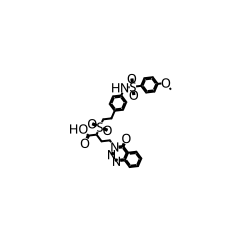 COc1ccc(S(=O)(=O)Nc2ccc(CCS(=O)(=O)C(CCn3nnc4ccccc4c3=O)C(=O)O)cc2)cc1